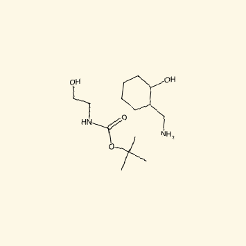 CC(C)(C)OC(=O)NCCO.NCC1CCCCC1O